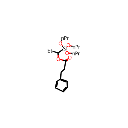 CCCO[Si](OCCC)(OCCC)C(CC)OC(=O)CCc1ccccc1